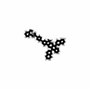 CC1(C)c2cc(-c3ccc(-c4cn5ccc6ccccc6c5n4)cc3)ccc2-c2cc3c(-c4ccc5ccccc5c4)c4ccccc4c(-c4ccc5ccccc5c4)c3cc21